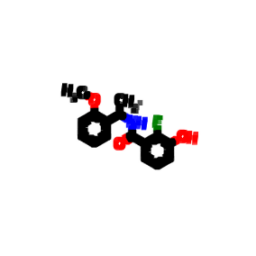 [CH2]C(NC(=O)c1cccc(O)c1F)c1ccccc1OC